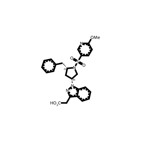 COc1ccc(S(=O)(=O)N2C[C@H](n3nc(CC(=O)O)c4ccccc43)C[C@@H]2Cc2ccccc2)cn1